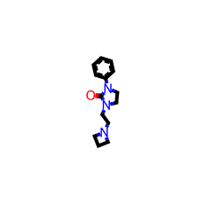 O=C1N(CCN2CCC2)CCN1c1ccccc1